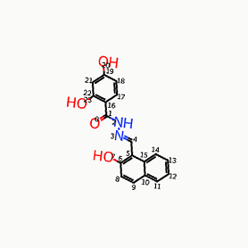 O=C(N/N=C/c1c(O)ccc2ccccc12)c1ccc(O)cc1O